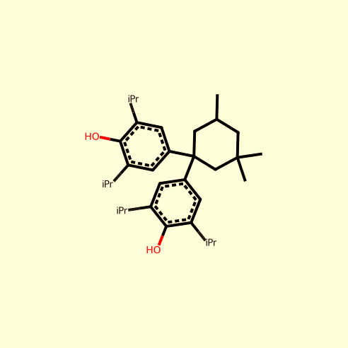 CC1CC(C)(C)CC(c2cc(C(C)C)c(O)c(C(C)C)c2)(c2cc(C(C)C)c(O)c(C(C)C)c2)C1